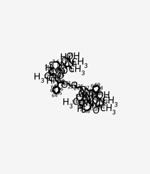 CC(C(=O)N[C@H]1CCS[C@H]2CC(C)(C)[C@@H](C(=O)NC(COCCOCCOCC(NC(=O)[C@H]3N4C(=O)[C@@H](NC(=O)C(C)N(C)C(=O)O)CCS[C@H]4CC3(C)C)c3ccccc3)c3ccccc3)N2C1=O)N(C)C(=O)O